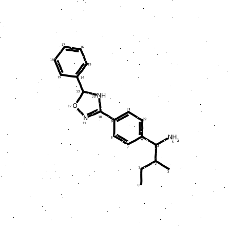 CCC(C)C(N)c1ccc(C2=NOC(c3ccccc3)N2)cc1